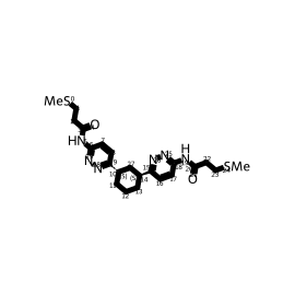 CSCCC(=O)Nc1ccc([C@H]2CCC[C@H](c3ccc(NC(=O)CCSC)nn3)C2)nn1